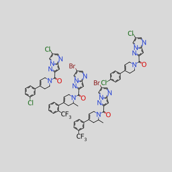 CC1CC(c2cccc(C(F)(F)F)c2)=CCN1C(=O)c1cc2ncc(Br)cn2n1.CC1CC(c2ccccc2C(F)(F)F)=CCN1C(=O)c1cc2ncc(Br)cn2n1.O=C(c1cc2ncc(Cl)cn2n1)N1CC=C(c2ccc(Cl)cc2)CC1.O=C(c1cc2ncc(Cl)cn2n1)N1CC=C(c2cccc(Cl)c2)CC1